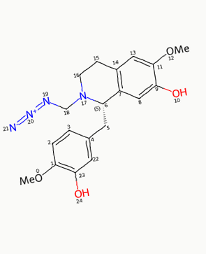 COc1ccc(C[C@H]2c3cc(O)c(OC)cc3CCN2CN=[N+]=[N-])cc1O